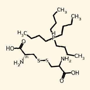 CCCC[PH](CCCC)(CCCC)CCCC.NC(CSSC[C@H](N)C(=O)O)C(=O)O